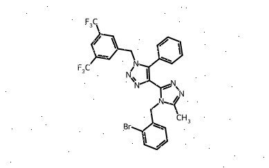 Cc1nnc(-c2nnn(Cc3cc(C(F)(F)F)cc(C(F)(F)F)c3)c2-c2ccccc2)n1Cc1ccccc1Br